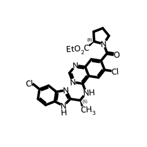 CCOC(=O)[C@H]1CCCN1C(=O)c1cc2ncnc(N[C@@H](C)c3nc4cc(Cl)ccc4[nH]3)c2cc1Cl